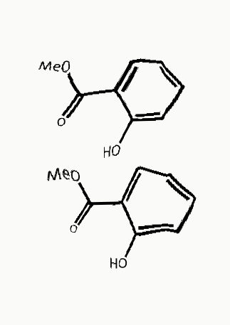 COC(=O)c1ccccc1O.COC(=O)c1ccccc1O